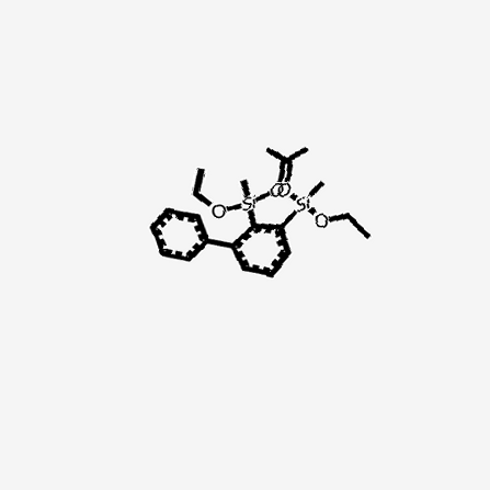 CCO[Si](C)(OCC)c1cccc(-c2ccccc2)c1[Si](C)(OCC)OCC